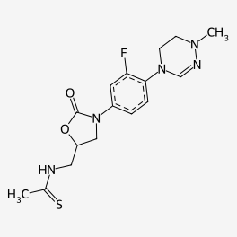 CC(=S)NCC1CN(c2ccc(N3C=NN(C)CC3)c(F)c2)C(=O)O1